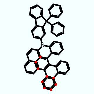 c1ccc(-c2ccccc2-c2c(-c3ccccc3)cccc2-c2ccccc2N(c2ccc3c(c2)C(c2ccccc2)(c2ccccc2)c2ccccc2-3)c2ccc3ccccc3c2)cc1